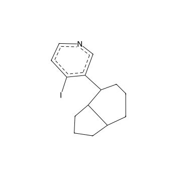 Ic1ccncc1C1CCCC2CCCC21